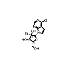 CC[C@@]1(O)[C@H](O)[C@@H](CO)O[C@H]1n1ccc2c(Cl)ncnc21